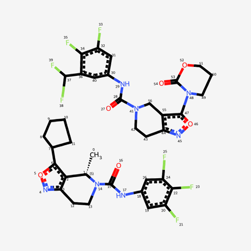 C[C@H]1c2c(noc2C2CCCC2)CCN1C(=O)Nc1cc(F)c(F)c(F)c1.O=C(Nc1cc(F)c(F)c(C(F)F)c1)N1CCc2noc(N3CCCOC3=O)c2C1